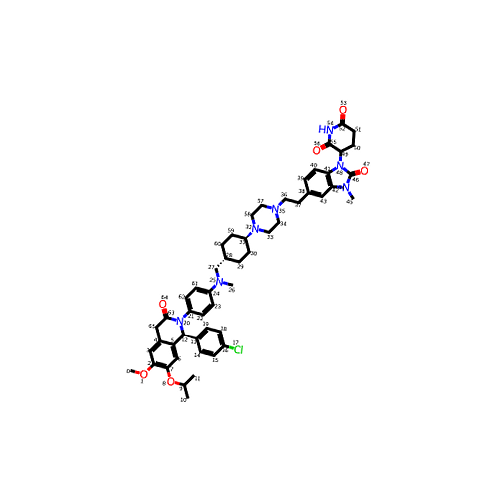 COc1cc2c(cc1OC(C)C)[C@H](c1ccc(Cl)cc1)N(c1ccc(N(C)C[C@H]3CC[C@H](N4CCN(CCc5ccc6c(c5)n(C)c(=O)n6C5CCC(=O)NC5=O)CC4)CC3)cc1)C(=O)C2